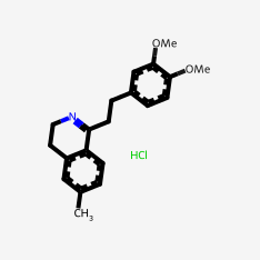 COc1ccc(CCC2=NCCc3cc(C)ccc32)cc1OC.Cl